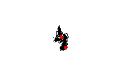 C=CCOC(=O)C1=C(SC(C)(C)C)S[C@@H]2[C@@H](CCO[Si](C)(C)C(C)(C)C)C(=O)N12